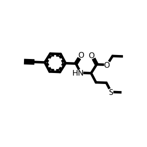 C#Cc1ccc(C(=O)NC(CCSC)C(=O)OCC)cc1